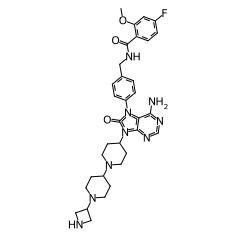 COc1cc(F)ccc1C(=O)NCc1ccc(-n2c(=O)n(C3CCN(C4CCN(C5CNC5)CC4)CC3)c3ncnc(N)c32)cc1